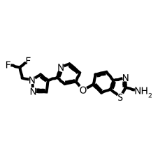 Nc1nc2ccc(Oc3ccnc(-c4cnn(CC(F)F)c4)c3)cc2s1